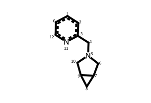 c1ccc(CN2CC3CC3C2)nc1